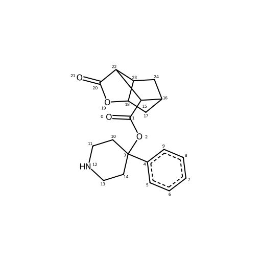 O=C(OC1(c2ccccc2)CCNCC1)C1C2CC3OC(=O)C1C3C2